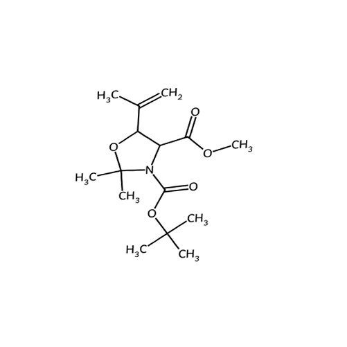 C=C(C)C1OC(C)(C)N(C(=O)OC(C)(C)C)C1C(=O)OC